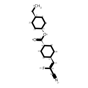 CC[C@H]1CC[C@H](OC(=O)[C@H]2CC[C@H](C=C(F)C#N)CC2)CC1